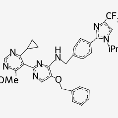 COc1ncnc(C2CC2)c1-c1ncc(OCc2ccccc2)c(NCc2ccc(-c3nc(C(F)(F)F)cn3C(C)C)cc2)n1